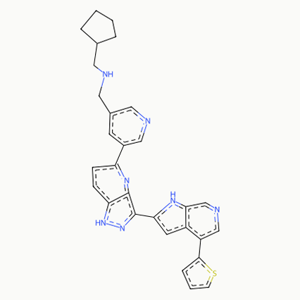 c1csc(-c2cncc3[nH]c(-c4n[nH]c5ccc(-c6cncc(CNCC7CCCC7)c6)nc45)cc23)c1